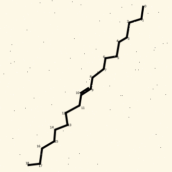 C[CH]CCCCCCC/C=C/CCCCCCCC